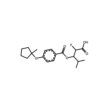 CC(C)C(OC(=O)c1ccc(OC2(C)CCCC2)cc1)C(F)C(=O)O